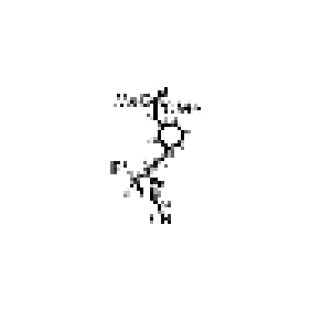 COP(=O)(CC1CCCC(COP(OCCC#N)N(C(C)C)C(C)C)C1)OC